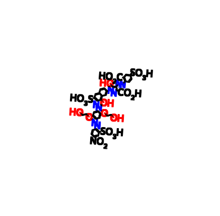 O=C(O)c1cc(S(=O)(=O)O)ccc1/N=N/c1c(C(=O)O)nn(-c2ccc3cc(S(=O)(=O)O)c(/N=N/c4cc(OCCO)c(/N=N/c5ccc([N+](=O)[O-])cc5S(=O)(=O)O)cc4OCCO)c(O)c3c2)c1O